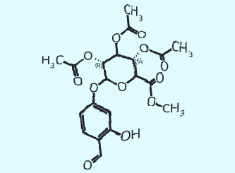 COC(=O)C1OC(Oc2ccc(C=O)c(O)c2)[C@H](OC(C)=O)C(OC(C)=O)[C@@H]1OC(C)=O